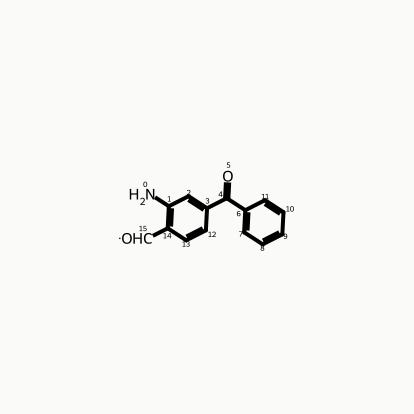 Nc1cc(C(=O)c2ccccc2)ccc1[C]=O